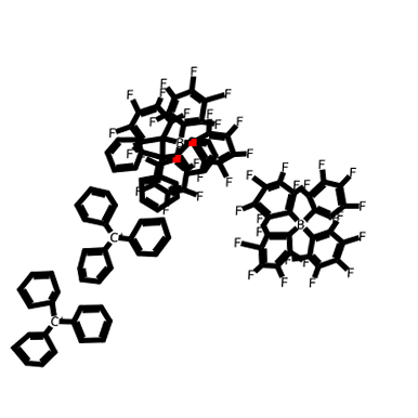 FC1=C(F)C(F)C([B-](c2c(F)c(F)c(F)c(F)c2F)(c2c(F)c(F)c(F)c(F)c2F)c2c(F)c(F)c(F)c(F)c2F)(C(c2ccccc2)(c2ccccc2)c2ccccc2)C(F)=C1F.Fc1c(F)c(F)c([B-](c2c(F)c(F)c(F)c(F)c2F)(c2c(F)c(F)c(F)c(F)c2F)c2c(F)c(F)c(F)c(F)c2F)c(F)c1F.c1ccc([C+](c2ccccc2)c2ccccc2)cc1.c1ccc([C+](c2ccccc2)c2ccccc2)cc1